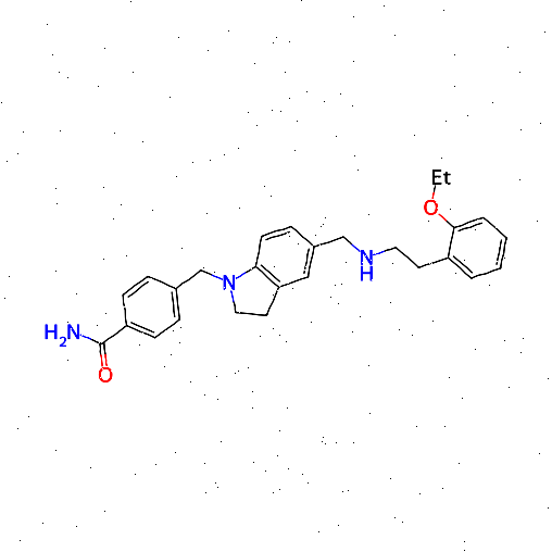 CCOc1ccccc1CCNCc1ccc2c(c1)CCN2Cc1ccc(C(N)=O)cc1